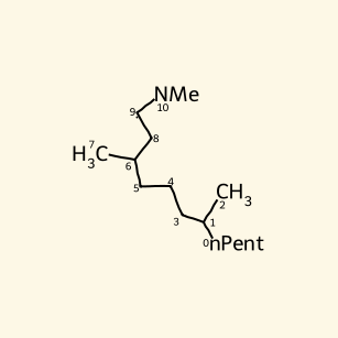 CCCCCC(C)CCCC(C)C[CH]NC